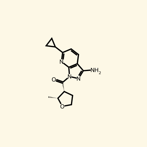 C[C@H]1OCC[C@H]1C(=O)n1nc(N)c2ccc(C3CC3)nc21